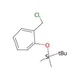 CC(C)(C)[Si](C)(C)Oc1ccccc1CCl